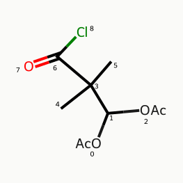 CC(=O)OC(OC(C)=O)C(C)(C)C(=O)Cl